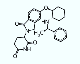 C[C@@H](N[C@H]1CCCC[C@@H]1Oc1ccc2c(c1)CN(C1CCC(=O)NC1=O)C2=O)c1ccccc1